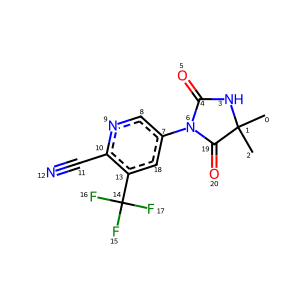 CC1(C)NC(=O)N(c2cnc(C#N)c(C(F)(F)F)c2)C1=O